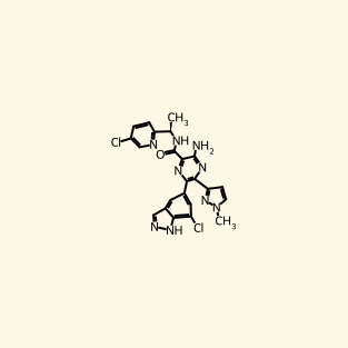 C[C@@H](NC(=O)c1nc(-c2cc(Cl)c3[nH]ncc3c2)c(-c2ccn(C)n2)nc1N)c1ccc(Cl)cn1